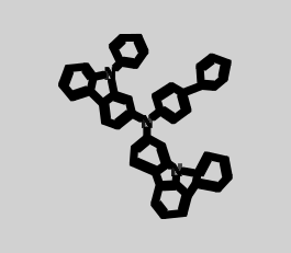 c1ccc(-c2ccc(N(c3ccc4c5ccccc5n(-c5ccccc5)c4c3)c3ccc4c5cccc6c7ccccc7n(c4c3)c65)cc2)cc1